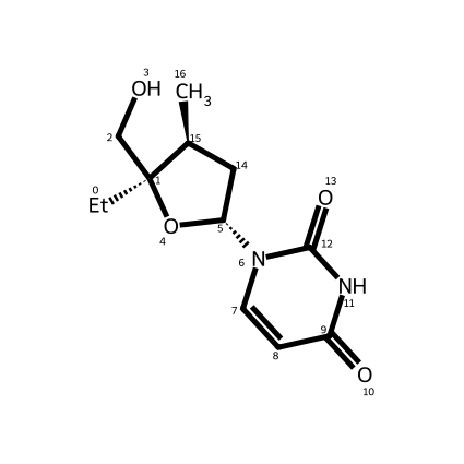 CC[C@@]1(CO)O[C@@H](n2ccc(=O)[nH]c2=O)C[C@@H]1C